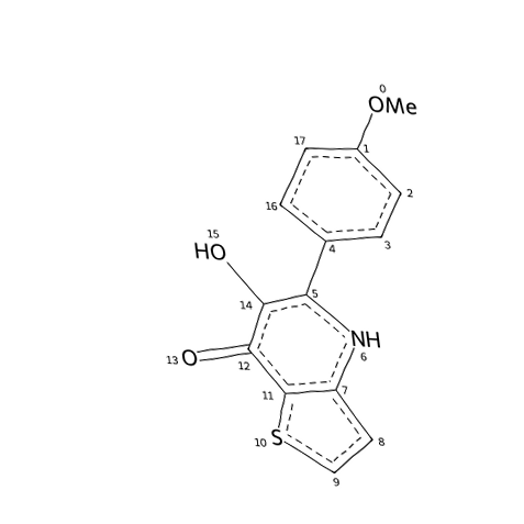 COc1ccc(-c2[nH]c3ccsc3c(=O)c2O)cc1